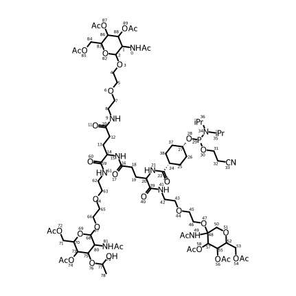 CC(=O)NC1C(OCCOCCNC(=O)CCC(NC(=O)CCC(NC(=O)[C@H]2CC[C@@H](OP(OCCC#N)N(C(C)C)C(C)C)CC2)C(=O)NCCOCCOC2(NC(C)=O)COC(COC(C)=O)C(OC(C)=O)C2OC(C)=O)C(=O)NCCOCCOC2OC(COC(C)=O)C(OC(C)=O)C(OC(C)O)C2NC(C)=O)OC(COC(C)=O)C(OC(C)=O)C1OC(C)=O